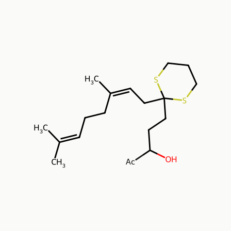 CC(=O)C(O)CCC1(C/C=C(/C)CCC=C(C)C)SCCCS1